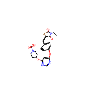 CCN1C(=O)SC(=Cc2ccc(Oc3cc(OC4CCN(C(=O)O)CC4)ncn3)cc2)C1=O